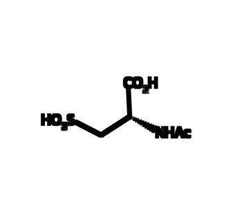 CC(=O)N[C@H](CS(=O)(=O)O)C(=O)O